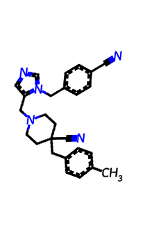 Cc1ccc(CC2(C#N)CCN(Cc3cncn3Cc3ccc(C#N)cc3)CC2)cc1